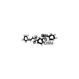 COc1ccc(S(=O)(=O)CCN2CCCC2)cc1S(=O)(=O)Nc1[c]cccc1